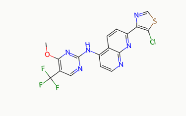 COc1nc(Nc2ccnc3nc(-c4ncsc4Cl)ccc23)ncc1C(F)(F)F